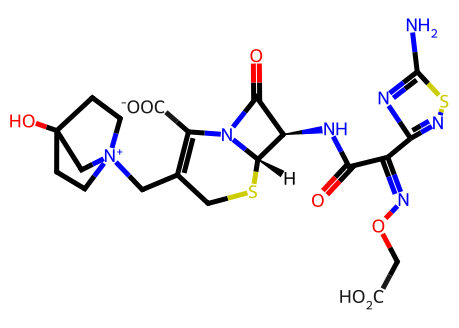 Nc1nc(/C(=N/OCC(=O)O)C(=O)N[C@@H]2C(=O)N3C(C(=O)[O-])=C(C[N+]45CCC(O)(CC4)C5)CS[C@@H]23)ns1